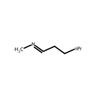 [CH2]N=CCCCCC